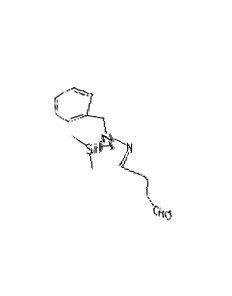 C[SiH](C)N(Cc1ccccc1)N=CCCC=O